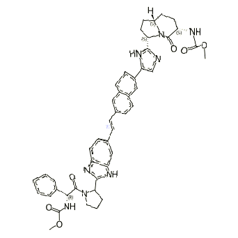 COC(=O)N[C@H]1CC[C@H]2CC[C@@H](c3ncc(-c4ccc5cc(/C=C/c6ccc7nc(C8CCCN8C(=O)[C@H](NC(=O)OC)c8ccccc8)[nH]c7c6)ccc5c4)[nH]3)N2C1=O